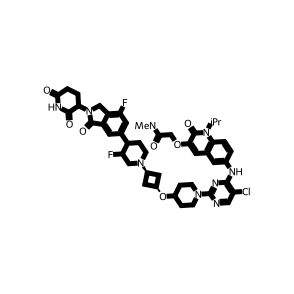 CNC(=O)COc1cc2cc(Nc3nc(N4CCC(O[C@H]5C[C@H](N6CCC(c7cc(F)c8c(c7)C(=O)N(C7CCC(=O)NC7=O)C8)C(F)C6)C5)CC4)ncc3Cl)ccc2n(C(C)C)c1=O